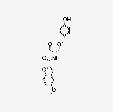 COc1ccc2oc(C(=O)N[C@H](C=O)COCc3ccc(O)cc3)cc2c1